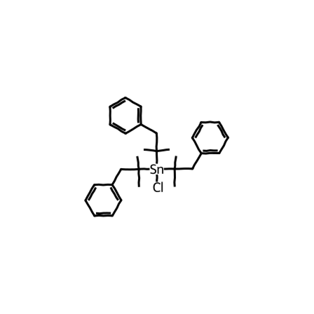 C[C](C)(Cc1ccccc1)[Sn]([Cl])([C](C)(C)Cc1ccccc1)[C](C)(C)Cc1ccccc1